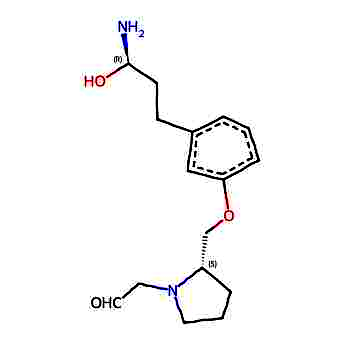 N[C@H](O)CCc1cccc(OC[C@@H]2CCCN2CC=O)c1